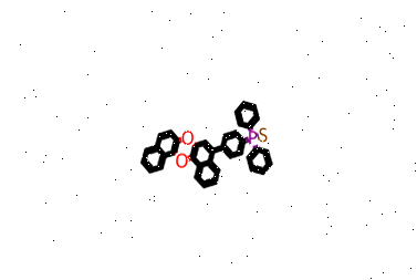 S=P(c1ccccc1)(c1ccccc1)c1ccc(-c2cc3c(c4ccccc24)Oc2c(ccc4ccccc24)O3)cc1